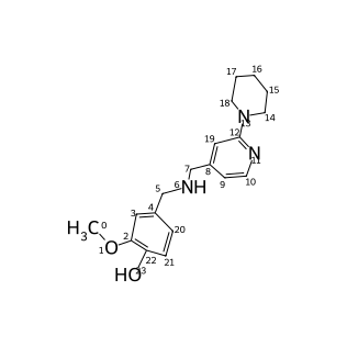 COc1cc(CNCc2ccnc(N3CCCCC3)c2)ccc1O